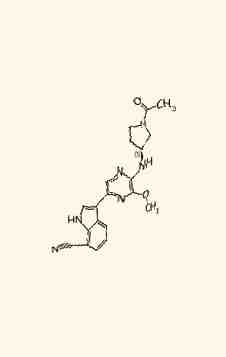 COc1nc(-c2c[nH]c3c(C#N)cccc23)cnc1N[C@H]1CCN(C(C)=O)C1